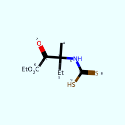 CCOC(=O)C(=O)C(C)(CC)NC(=S)S